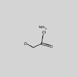 N.O=C(Cl)CCl